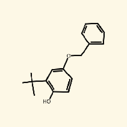 CC(C)(C)c1cc(OCc2ccccc2)ccc1O